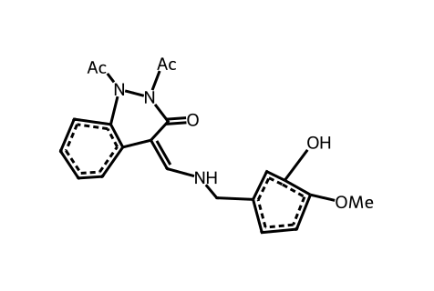 COc1ccc(CNC=C2C(=O)N(C(C)=O)N(C(C)=O)c3ccccc32)cc1O